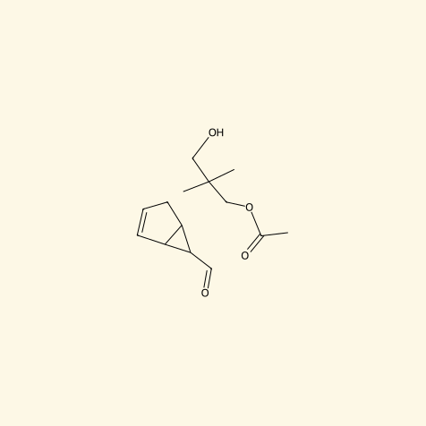 CC(=O)OCC(C)(C)CO.O=CC1C2C=CCC12